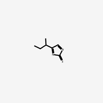 CCC(C)C1=NC(=S)N=C1